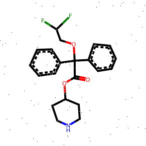 O=C(OC1CCNCC1)C(OCC(F)F)(c1ccccc1)c1ccccc1